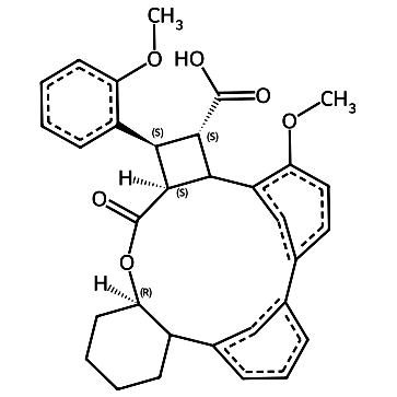 COc1ccc2cc1C1[C@@H](C(=O)O)[C@H](c3ccccc3OC)[C@@H]1C(=O)O[C@@H]1CCCCC1c1cccc-2c1